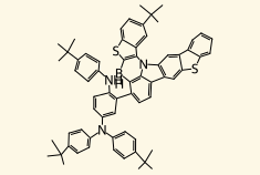 CC(C)(C)c1ccc(Nc2ccc(N(c3ccc(C(C)(C)C)cc3)c3ccc(C(C)(C)C)cc3)cc2-c2ccc3c4cc5sc6ccccc6c5cc4n4c3c2Bc2sc3ccc(C(C)(C)C)cc3c2-4)cc1